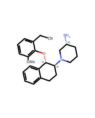 COc1cccc(CC#N)c1O[C@H]1c2ccccc2CC[C@@H]1N1CCC[C@@H](N)C1